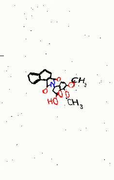 CCOc1cc(C(CC(=O)O)N2C(=O)c3ccc4ccccc4c3C2=O)ccc1OC